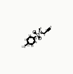 C#CCN(C)S(=O)(=O)c1ccc(I)cc1